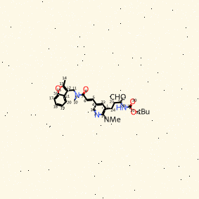 CNc1ncc(/C=C/C(=O)N(C)Cc2c(C)oc3ccccc23)cc1CC[C@@H](C=O)NC(=O)OC(C)(C)C